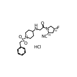 Cl.N#C[C@@H]1C[C@H](F)CN1C(=O)CNC1CCN(S(=O)(=O)Cc2ccccc2)CC1